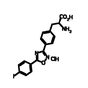 Cl.N[C@@H](Cc1ccc(-c2noc(-c3ccc(I)cc3)n2)cc1)C(=O)O